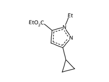 CCOC(=O)c1cc(C2CC2)nn1CC